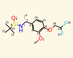 COc1cc([C@@H](C)N[S@+]([O-])C(C)(C)C)ccc1OCC(F)F